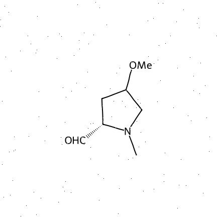 COC1C[C@@H](C=O)N(C)C1